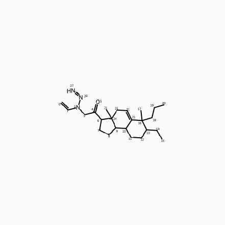 C=CN(CC(=O)C1CCC2C3CCC(CC)C(C)(CCC)C3=CCC12C)N=N